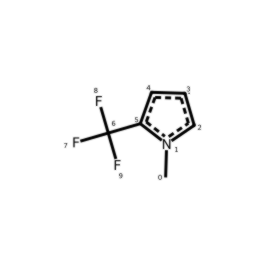 Cn1c[c]cc1C(F)(F)F